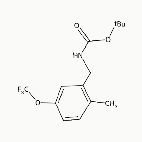 Cc1ccc(OC(F)(F)F)cc1CNC(=O)OC(C)(C)C